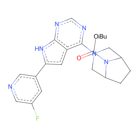 CC(C)COC(=O)N1C2CCC1CN(c1ncnc3[nH]c(-c4cncc(F)c4)cc13)C2